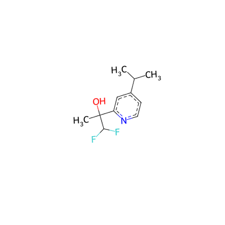 CC(C)c1ccnc(C(C)(O)C(F)F)c1